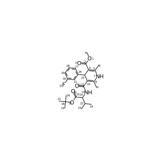 COC(=O)C1=C(C)NC(C)=C(C(=O)NC(C(=O)OC(C)(C)C)C(C)C)C1c1cccc(F)c1